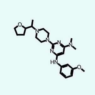 COc1cccc(Nc2cc(N(C)C)nc(N3CCN(C(C)C4CCCO4)CC3)n2)c1